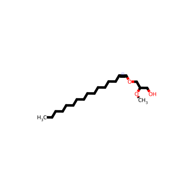 CCCCCCCCCCCCCC/C=C\OCC(CO)OC